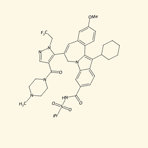 COc1ccc2c(c1)C=C(c1c(C(=O)N3CCN(C)CC3)cnn1CC(F)(F)F)Cn1c-2c(C2CCCCC2)c2ccc(C(=O)NS(=O)(=O)C(C)C)cc21